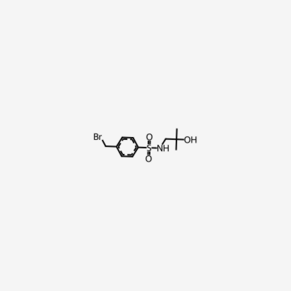 CC(C)(O)CNS(=O)(=O)c1ccc(CBr)cc1